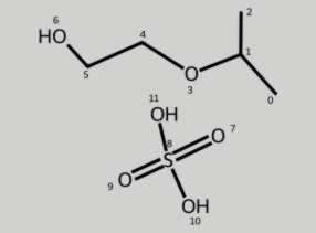 CC(C)OCCO.O=S(=O)(O)O